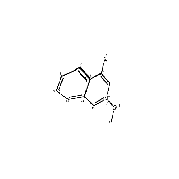 CO[n+]1cc(Br)c2ccccc2c1